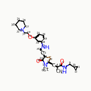 CCn1c(=C=C(C#N)C(=O)NCC2CC2)sc(=C=CNc2cccc(OCCN3CCCCC3)c2)c1=O